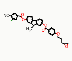 CC1c2cc(OC(=O)c3ccc(OCCCC4CO4)cc3)ccc2-c2ccc(OC(=O)c3ccc(C#N)c(F)c3)cc21